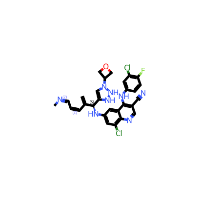 C=C(/C=C\C=N/C)[C@H](Nc1cc(Cl)c2ncc(C#N)c(Nc3ccc(F)c(Cl)c3)c2c1)C1=CN(C2COC2)NN1